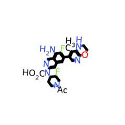 CC(=O)N1CCC(N(C(=O)O)c2cc3cc(-c4cnc5c(c4C)NCCO5)c(F)c(N)c3cn2)C(F)C1